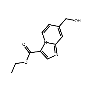 CCOC(=O)c1cnc2cc(CO)ccn12